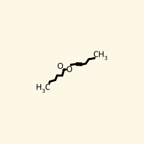 CCCCC#CCOC(=O)CCCCC